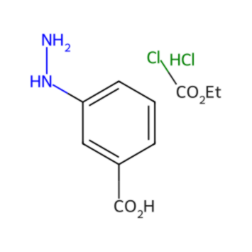 CCOC(=O)Cl.Cl.NNc1cccc(C(=O)O)c1